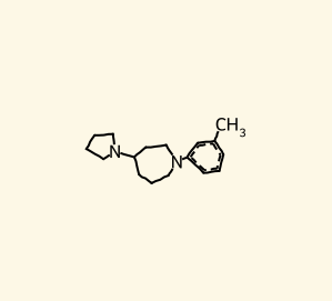 Cc1cccc(N2CCCC(N3CCCC3)CC2)c1